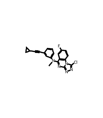 CN(c1cccc(C#CC2CC2)c1)c1nc2nnc(Cl)n2c2ccc(F)cc12